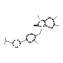 Cn1c(=O)n(Cc2ccc(-c3nnc(C(F)F)o3)cc2F)c2cc(F)c(Br)cc21